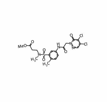 COC(=O)CCN(C)S(=O)(=O)c1cc(NC(=O)Cn2ncc(Cl)c(Cl)c2=O)ccc1C